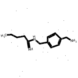 CCCCC(=N)NCc1ccc(CN)cc1